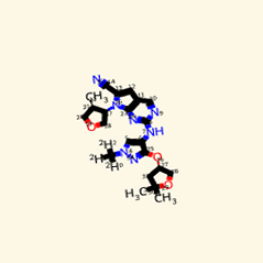 [2H]C([2H])([2H])n1cc(Nc2ncc3cc(C#N)n([C@H]4COC[C@@H]4C)c3n2)c(O[C@@H]2COC(C)(C)C2)n1